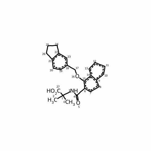 CC(C)(NC(=O)c1ccc2ccccc2c1OCc1ccc2c(c1)CCC2)C(=O)O